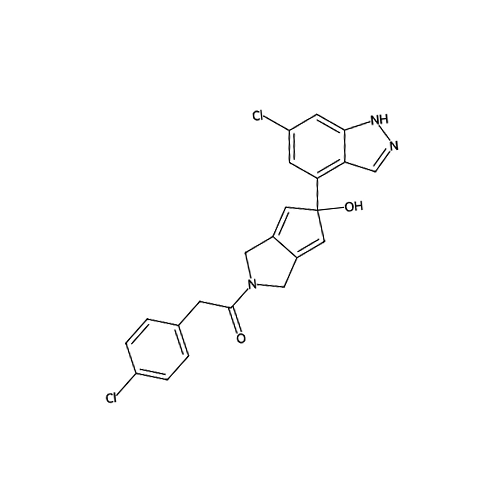 O=C(Cc1ccc(Cl)cc1)N1CC2=CC(O)(c3cc(Cl)cc4[nH]ncc34)C=C2C1